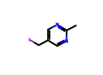 Cc1ncc(CI)cn1